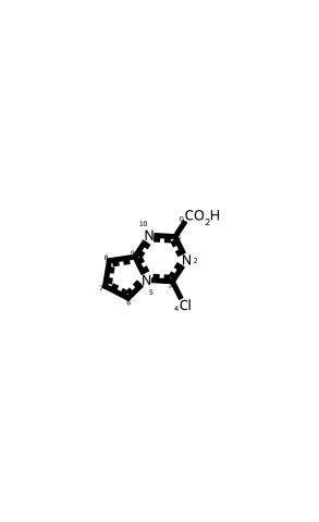 O=C(O)c1nc(Cl)n2cccc2n1